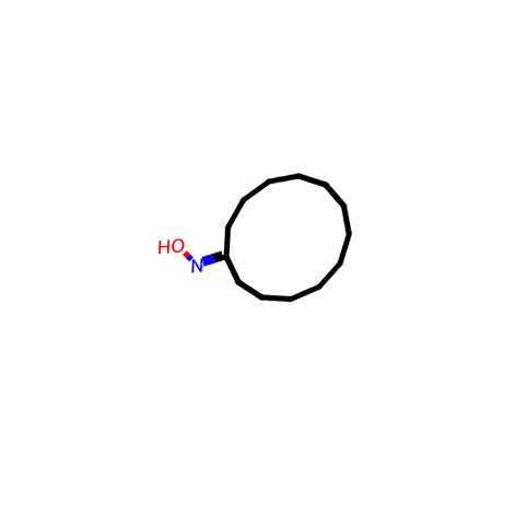 ON=C1CCCCCCCCCCCC1